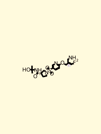 CC(C)(O)NC(=O)[C@H]1CCN(S(=O)(=O)c2ccc(OC/C(=C/F)CN)nc2)C1